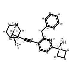 O[C@]1(C#Cc2ccc([N+]3(O)CCC3)nc2Cc2ccccc2)CN2CCC1CC2